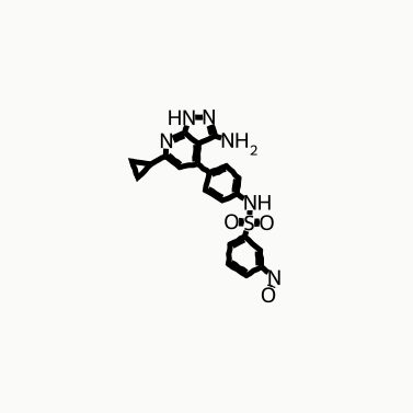 Nc1n[nH]c2nc(C3CC3)cc(-c3ccc(NS(=O)(=O)c4cccc(N=O)c4)cc3)c12